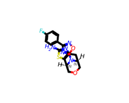 Nc1nc2c(s1)[C@@H]1COC[C@H](C2)N1c1nc(-c2ccc(F)cc2)no1